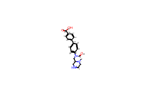 CN1CCNCC1CN(C=O)c1ccc(-c2ccc(C(=O)O)cc2)cc1